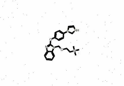 C[Si](C)(C)CCOCn1c(Oc2ccc(N3C=CNC3)cc2)nc2ccccc21